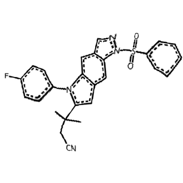 CC(C)(CC#N)c1cc2cc3c(cnn3S(=O)(=O)c3ccccc3)cc2n1-c1ccc(F)cc1